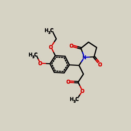 CCOc1cc(C(CC(=O)OC)N2C(=O)CCC2=O)ccc1OC